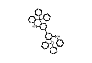 C1=CCCC([Si]2(c3ccccc3)c3ccccc3Nc3cc(-c4ccc5c(c4)Nc4ccccc4C5(c4ccccc4)c4ccccc4)ccc32)=C1